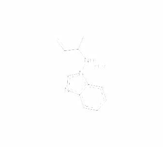 Br.C=CC(C)Nn1cnc2ccccc21